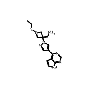 CCSN1CC(CN)(n2cc(-c3ncnc4[nH]ccc34)cn2)C1